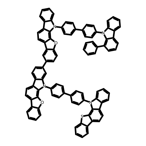 c1ccc(-c2cccc3c4ccccc4n(-c4ccc(-c5ccc(-n6c7ccccc7c7ccc8c9cc(-c%10ccc%11c%12ccc%13c%14ccccc%14oc%13c%12n(-c%12ccc(-c%13ccc(-n%14c%15ccccc%15c%15ccc%16c%17ccccc%17sc%16c%15%14)cc%13)cc%12)c%11c%10)ccc9oc8c76)cc5)cc4)c23)cc1